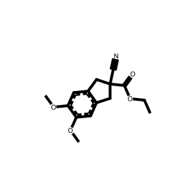 CCOC(=O)C1(C#N)Cc2cc(OC)c(OC)cc2C1